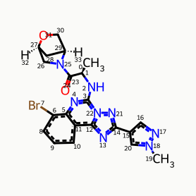 C[C@@H](Nc1nc2c(Br)cccc2c2nc(-c3cnn(C)c3)nn12)C(=O)N1C[C@@H]2C[C@H]1CO2